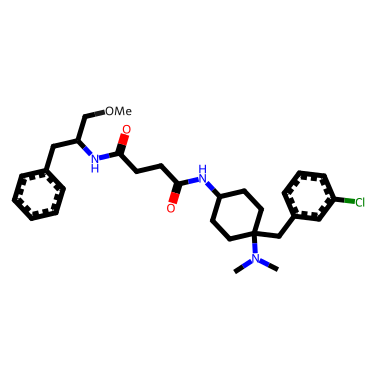 COCC(Cc1ccccc1)NC(=O)CCC(=O)NC1CCC(Cc2cccc(Cl)c2)(N(C)C)CC1